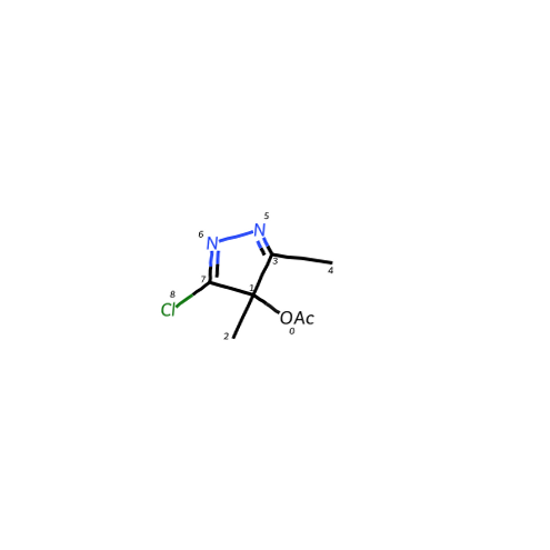 CC(=O)OC1(C)C(C)=NN=C1Cl